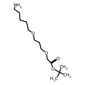 CC(C)(C)OC(=O)COCCCOCCCCCN